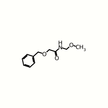 COCNC(=O)COCc1ccccc1